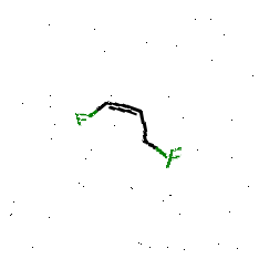 F/C=C\CF